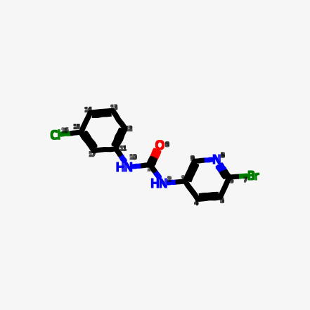 O=C(Nc1ccc(Br)nc1)Nc1cccc(Cl)c1